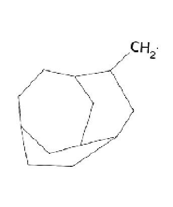 [CH2]C1CC2CCC3CCC1CC2C3